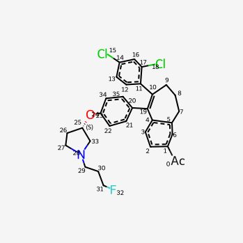 CC(=O)c1ccc2c(c1)CCCC(c1ccc(Cl)cc1Cl)=C2c1ccc(O[C@H]2CCN(CCCF)C2)cc1